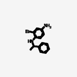 CCc1cc(N)ccc1NC(C)c1ccccc1